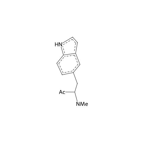 CNC(Cc1ccc2[nH]ccc2c1)C(C)=O